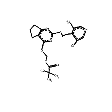 Cc1cncc(Cl)c1CSc1nc2c(c(OCOC(=O)C(C)(C)C)n1)CCC2